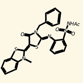 CC(=O)NS(=O)(=O)c1ccccc1N=C1SC(=C2Sc3ccccc3N2C)C(=O)N1Cc1ccccc1